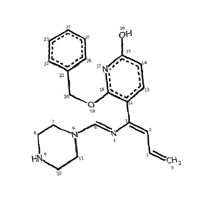 C=C/C=C(\N=C\N1CCNCC1)c1ccc(O)nc1OCc1ccccc1